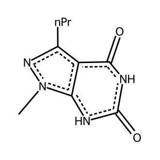 CCCc1nn(C)c2[nH]c(=O)[nH]c(=O)c12